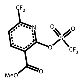 COC(=O)c1ccc(C(F)(F)F)nc1OS(=O)(=O)C(F)(F)F